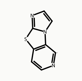 [c]1nccc2sc3nccn3c12